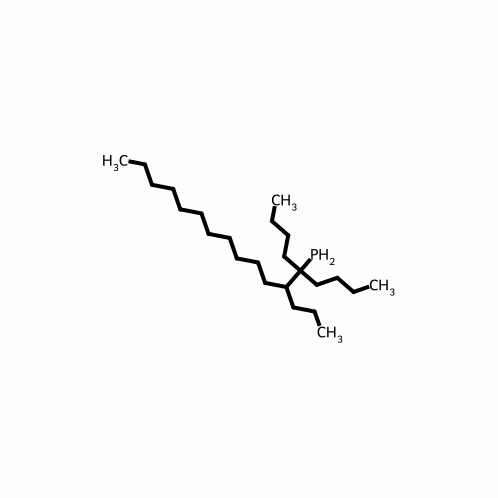 CCCCCCCCCCCC(CCC)C(P)(CCCC)CCCC